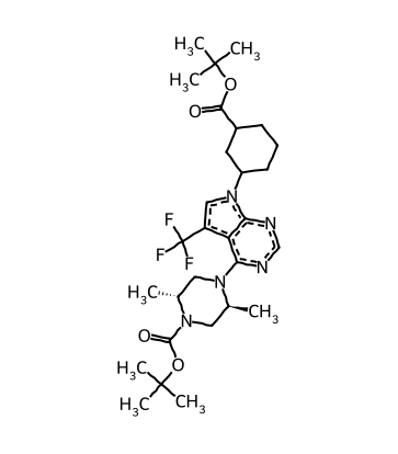 C[C@@H]1CN(c2ncnc3c2c(C(F)(F)F)cn3C2CCCC(C(=O)OC(C)(C)C)C2)[C@@H](C)CN1C(=O)OC(C)(C)C